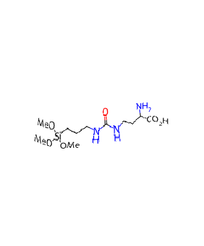 CO[Si](CCCNC(=O)NCCC(N)C(=O)O)(OC)OC